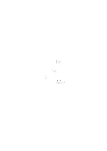 [S]=[Mo].[Se].[Te]